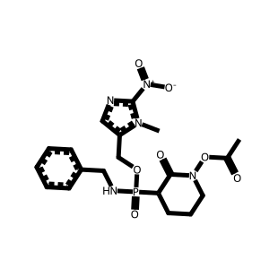 CC(=O)ON1CCCC(P(=O)(NCc2ccccc2)OCc2cnc([N+](=O)[O-])n2C)C1=O